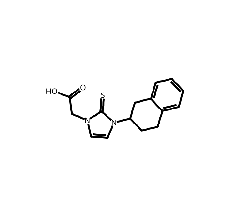 O=C(O)Cn1ccn(C2CCc3ccccc3C2)c1=S